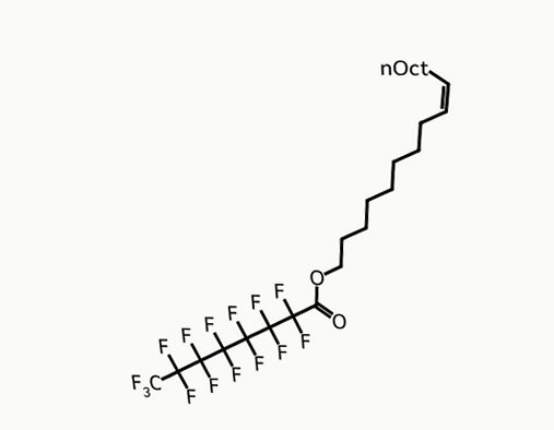 CCCCCCCC/C=C\CCCCCCCCOC(=O)C(F)(F)C(F)(F)C(F)(F)C(F)(F)C(F)(F)C(F)(F)C(F)(F)F